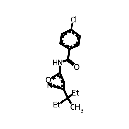 CCC(C)(CC)c1cc(NC(=O)c2ccc(Cl)cc2)on1